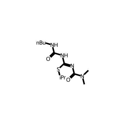 CCCCNC(=O)NC(=NC(=O)N(C)C)SC(C)C